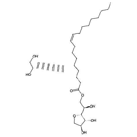 C=C.C=C.C=C.C=C.C=C.C=C.CCCCCCCC/C=C\CCCCCCCC(=O)OC[C@@H](O)[C@H]1OC[C@H](O)[C@H]1O.OCCO